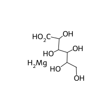 O=C(O)C(O)C(O)C(O)C(O)CO.[MgH2]